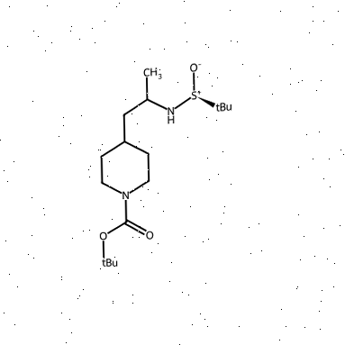 CC(CC1CCN(C(=O)OC(C)(C)C)CC1)N[S@@+]([O-])C(C)(C)C